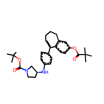 CC(C)(C)OC(=O)N1CC[C@H](Nc2ccc(C3=CCCCc4cc(OC(=O)C(C)(C)C)ccc43)cc2)C1